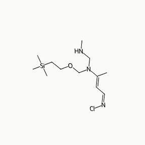 CNCN(COCC[Si](C)(C)C)/C(C)=C/C=N\Cl